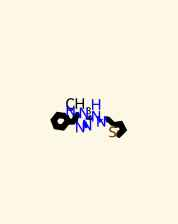 Cn1c2ccccc2c2nnc(NN=Cc3cccs3)nc21